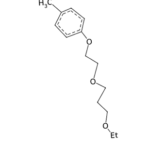 CCOCCCOCCOc1ccc(C)cc1